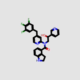 O=C(c1cccc2c1CCN2)N(CC(O)c1cccnc1)c1cc(Cc2cc(F)c(F)c(F)c2)ccn1